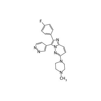 CN1CCN(c2ccc3nc(-c4ccc(F)cc4)c(-c4ccnnc4)n3n2)CC1